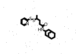 CC(CCC(=O)NC1CC2CCCC(C2)C1)SSc1ccccn1